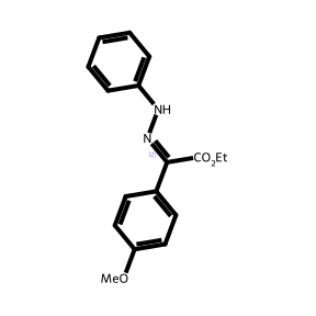 CCOC(=O)/C(=N\Nc1ccccc1)c1ccc(OC)cc1